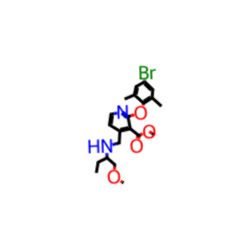 CCC(COC)NCc1ccnc(Oc2c(C)cc(Br)cc2C)c1C(=O)OC